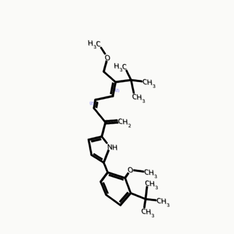 C=C(/C=C\C=C(/COC)C(C)(C)C)c1ccc(-c2cccc(C(C)(C)C)c2OC)[nH]1